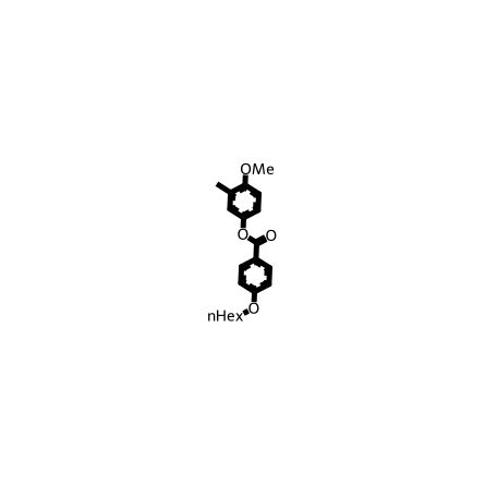 CCCCCCOc1ccc(C(=O)Oc2ccc(OC)c(C)c2)cc1